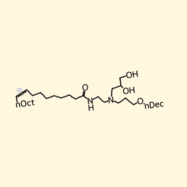 CCCCCCCC/C=C\CCCCCCCC(=O)NCCN(CCCOCCCCCCCCCC)CC(O)CO